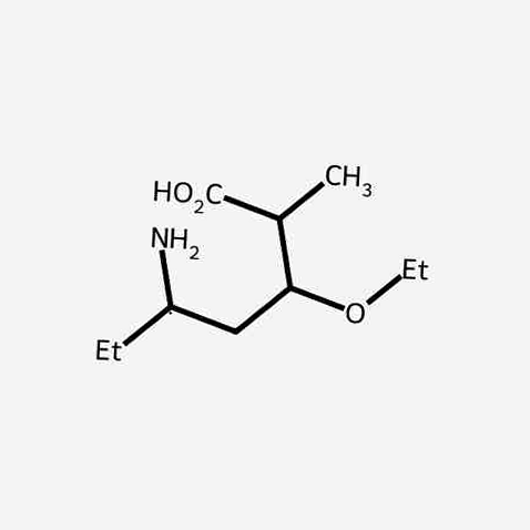 CCOC(C[C](N)CC)C(C)C(=O)O